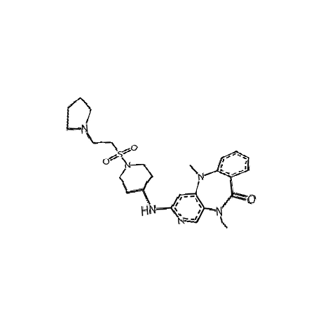 CN1C(=O)c2ccccc2N(C)c2cc(NC3CCN(S(=O)(=O)CCN4CCCC4)CC3)ncc21